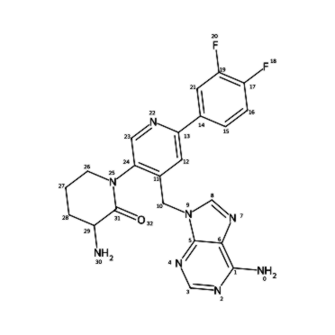 Nc1ncnc2c1ncn2Cc1cc(-c2ccc(F)c(F)c2)ncc1N1CCCC(N)C1=O